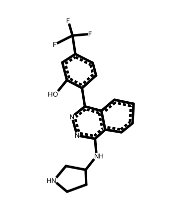 Oc1cc(C(F)(F)F)ccc1-c1nnc(NC2CCNC2)c2ccccc12